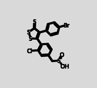 O=S(O)Cc1ccc(-c2ssc(=S)c2-c2ccc(Br)cc2)c(Cl)c1